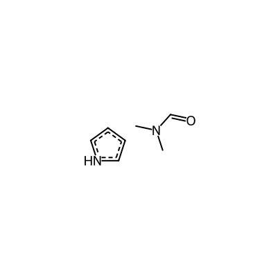 CN(C)C=O.c1cc[nH]c1